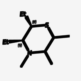 CC[C@H]1SC(C)C(C)N(C)[C@H]1CC